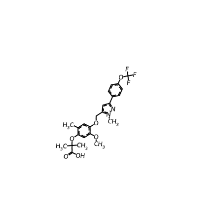 COc1cc(OC(C)(C)C(=O)O)c(C)cc1OCc1cc(-c2ccc(OC(F)(F)F)cc2)nn1C